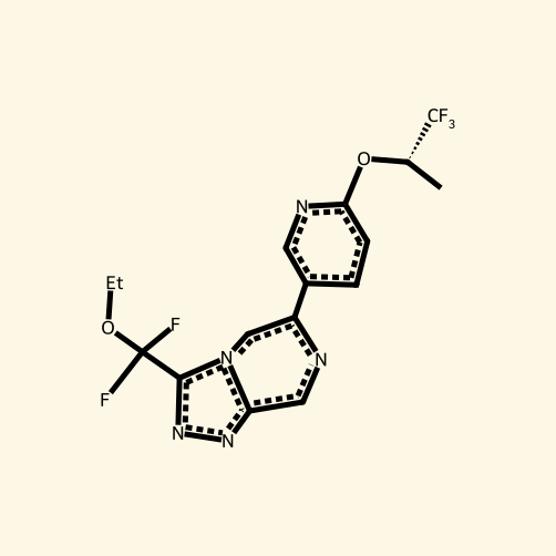 CCOC(F)(F)c1nnc2cnc(-c3ccc(O[C@@H](C)C(F)(F)F)nc3)cn12